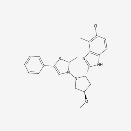 CO[C@@H]1C[C@@H](c2nc3c(C)c(Cl)ccc3[nH]2)N(N2[C]=C(c3ccccc3)SC2C)C1